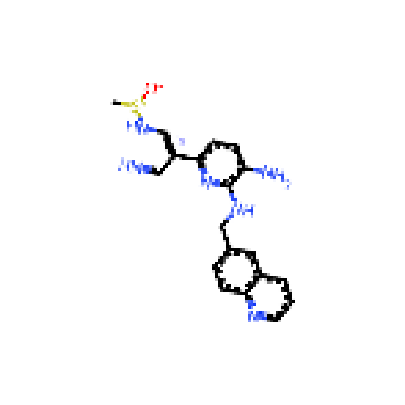 C[S+]([O-])N/C=C(\C=N)c1ccc(N)c(NCc2ccc3ncccc3c2)n1